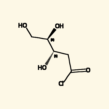 O=C(Cl)C[C@H](O)[C@H](O)CO